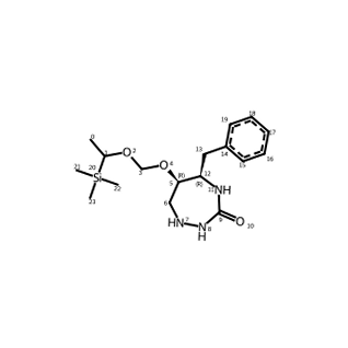 CC(OCO[C@@H]1CNNC(=O)N[C@@H]1Cc1ccccc1)[Si](C)(C)C